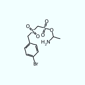 CC(N)OS(=O)(=O)CS(=O)(=O)Cc1ccc(Br)cc1